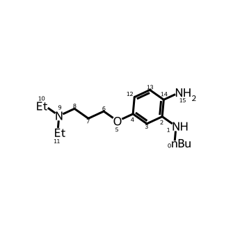 CCCCNc1cc(OCCCN(CC)CC)ccc1N